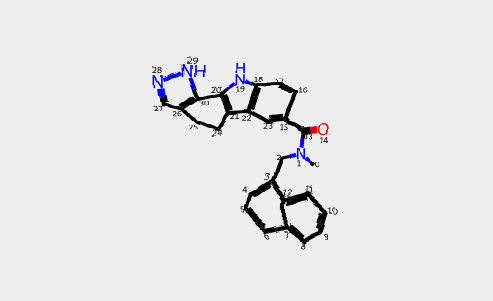 CN(Cc1cccc2ccccc12)C(=O)c1ccc2[nH]c3c(c2c1)CCc1cn[nH]c1-3